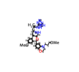 COCCCN1CCOc2ccc(COC3CNC(C[C@@H](C)Nc4nnn[nH]4)C[C@@H]3c3ccc(OC)cc3)cc21